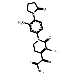 CC1=C(C(=N)C(N)=O)CCN(c2ccc(N3CCCC3=O)c(C)c2)C1=O